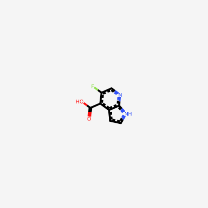 O=C(O)c1c(F)cnc2[nH]ccc12